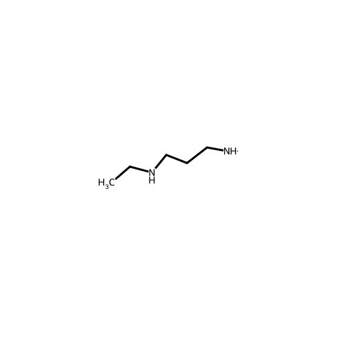 CCNCCC[NH]